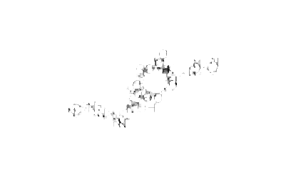 CO[C@]1(C)C[C@@H](C)C(=O)[C@@H]2C(CCCn3cnc(-c4cccnc4)c3)N(C)[C@H]2[C@](C)(OC=O)[C@@H](I)OC(=O)[C@H](C)C(=O)C(C)[C@H]1O[C@@H]1O[C@H](C)C[C@H](N(C)CCc2cn(CCN3CCN(Cc4ccncc4)CC3)nn2)[C@H]1O